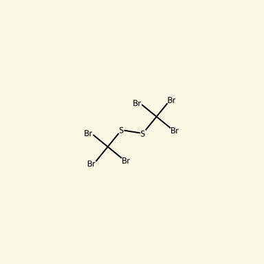 BrC(Br)(Br)SSC(Br)(Br)Br